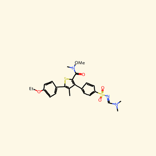 CCOc1ccc(-c2sc(C(=O)N(C)OC)c(-c3ccc(S(=O)(=O)N=CN(C)C)cc3)c2C)cc1